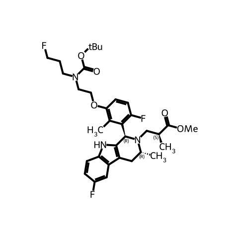 COC(=O)[C@@H](C)CN1[C@H](c2c(F)ccc(OCCN(CCCF)C(=O)OC(C)(C)C)c2C)c2[nH]c3ccc(F)cc3c2C[C@H]1C